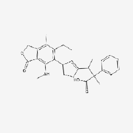 CCc1c(C)c2c(c(NC)c1C1C=C(C(C)C(C)(C(=O)O)c3ccccc3)CC1)C(=O)OC2